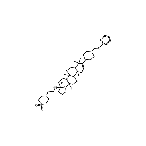 CC1(C)C(C2=CC[C@H](COc3ccccn3)CC2)=CC[C@@]2(C)C1CC[C@]1(C)C2CC[C@@H]2[C@H]3CCC[C@]3(NCCN3CCS(=O)(=O)CC3)CC[C@]21C